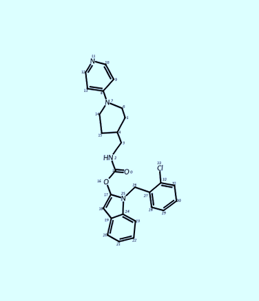 O=C(NCC1CCN(c2ccncc2)CC1)Oc1cc2ccccc2n1Cc1ccccc1Cl